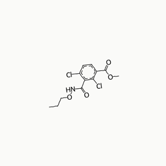 CCCONC(=O)c1c(Cl)ccc(C(=O)OC)c1Cl